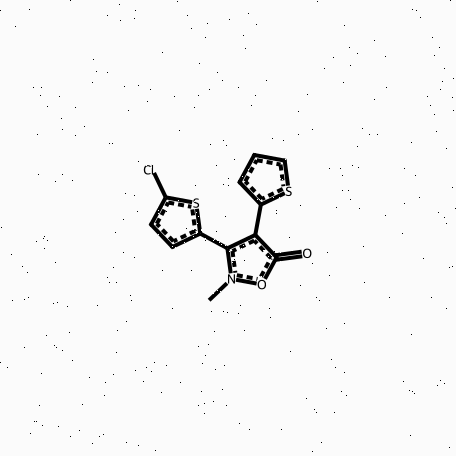 Cn1oc(=O)c(-c2cccs2)c1-c1ccc(Cl)s1